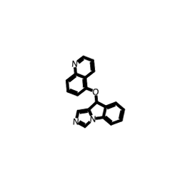 c1ccc2c(c1)C(Oc1cccc3ncccc13)c1cncn1-2